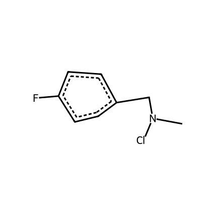 CN(Cl)Cc1ccc(F)cc1